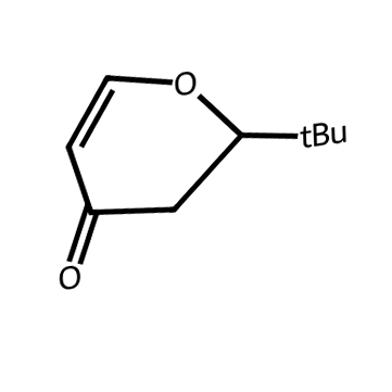 CC(C)(C)C1CC(=O)C=CO1